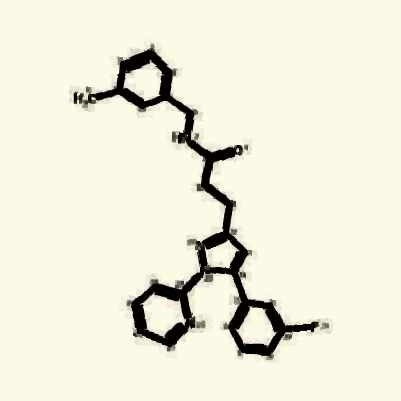 Cc1cccc(CNC(=O)CCc2cc(-c3cccc(F)c3)n(-c3ccccn3)n2)c1